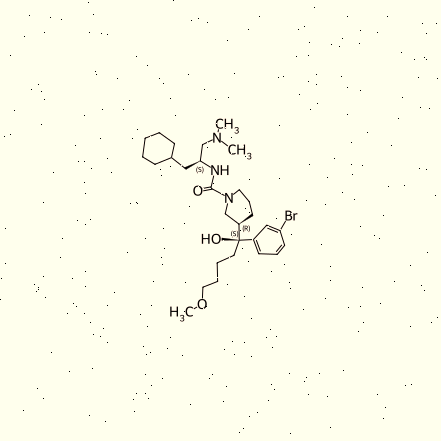 COCCCC[C@@](O)(c1cccc(Br)c1)[C@@H]1CCCN(C(=O)N[C@@H](CC2CCCCC2)CN(C)C)C1